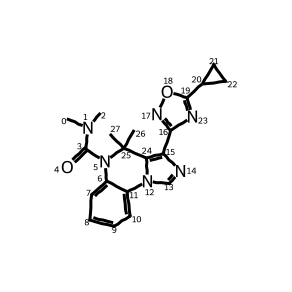 CN(C)C(=O)N1c2ccccc2-n2cnc(-c3noc(C4CC4)n3)c2C1(C)C